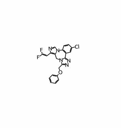 FC(F)=Cc1ncn2c1Cn1c(COc3ccccc3)nnc1-c1cc(Cl)ccc1-2